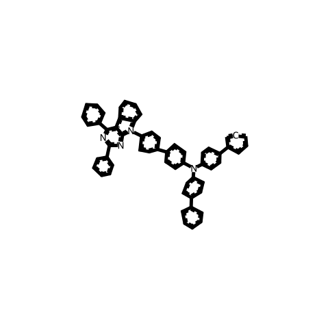 c1ccc(-c2ccc(N(c3ccc(-c4ccccc4)cc3)c3ccc(-c4ccc(-n5c6ccccc6c6c(-c7ccccc7)nc(-c7ccccc7)nc65)cc4)cc3)cc2)cc1